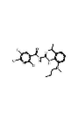 CCCN(C)c1cccc(C(C)C)c1NC(=O)NC(=O)c1cc(F)c(Cl)nc1Cl